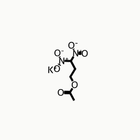 CC(=O)OCCC([N+](=O)[O-])[N+](=O)[O-].[K+]